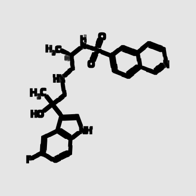 C[C@H](CNCC(C)(O)c1c[nH]c2ccc(F)cc12)NS(=O)(=O)c1ccc2cnccc2c1